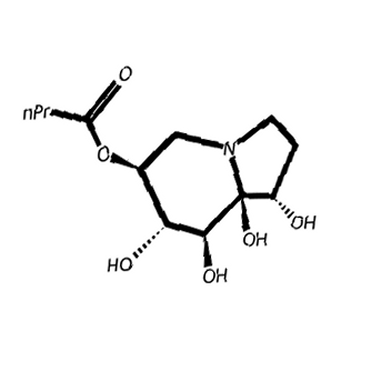 CCCC(=O)O[C@H]1CN2CC[C@H](O)[C@]2(O)[C@@H](O)[C@@H]1O